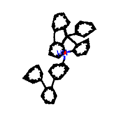 c1ccc(-c2ccccc2-c2ccc(Nc3ccccc3C3(c4ccccc4)c4ccccc4-c4ccccc43)cc2)cc1